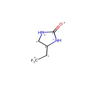 O=C1NCC(CC(F)(F)F)N1